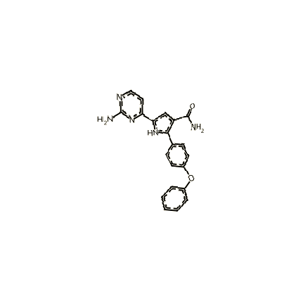 NC(=O)c1cc(-c2ccnc(N)n2)[nH]c1-c1ccc(Oc2ccccc2)cc1